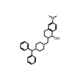 CN(C)c1ccc2c(c1)CCC(CN1CCN(C(c3ccccc3)c3ccccc3)CC1)C2O